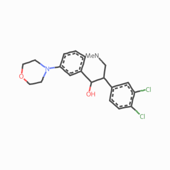 CNCC(c1ccc(Cl)c(Cl)c1)C(O)c1cccc(N2CCOCC2)c1